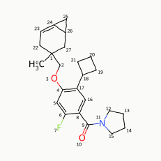 CC1(COc2cc(F)c(C(=O)N3CCCC3)cc2C2CCC2)CC=C2CC2C1